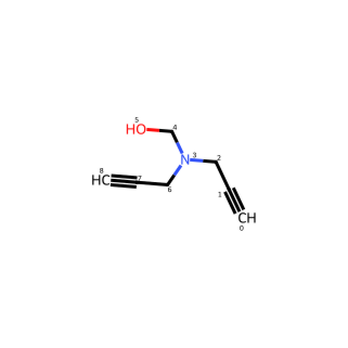 C#CCN(CO)CC#C